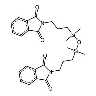 C[Si](C)(CCCN1C(=O)c2ccccc2C1=O)O[Si](C)(C)CCCN1C(=O)c2ccccc2C1=O